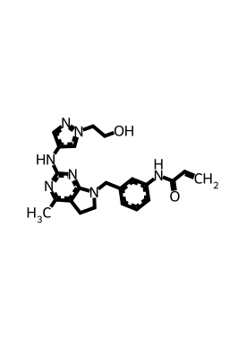 C=CC(=O)Nc1cccc(CN2CCc3c(C)nc(Nc4cnn(CCO)c4)nc32)c1